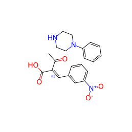 CC(=O)/C(=C\c1cccc([N+](=O)[O-])c1)C(=O)O.c1ccc(N2CCNCC2)cc1